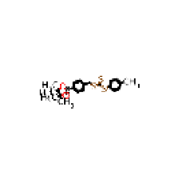 Cc1ccc(SC(=S)SCc2ccc(B3OC(C)(C)C(C)(C)O3)cc2)cc1